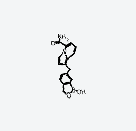 NC(=O)c1cccc2c(Cc3ccc4c(c3)B(O)OC4)ccn12